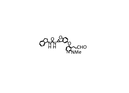 CNc1nccc(Oc2ccc3c(c2)C2C(O3)[C@H]2NC(=O)NC2CCc3ccccc32)c1CCC=O